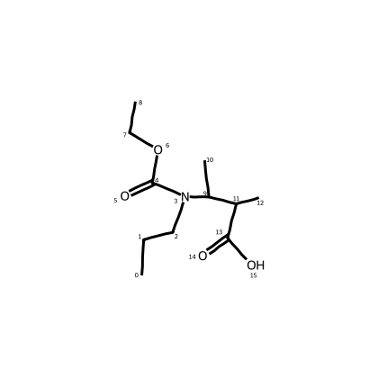 CCCN(C(=O)OCC)C(C)C(C)C(=O)O